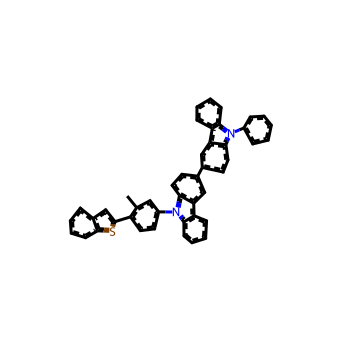 Cc1cc(-n2c3ccccc3c3cc(-c4ccc5c(c4)c4ccccc4n5-c4ccccc4)ccc32)ccc1-c1cc2ccccc2s1